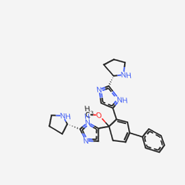 COC1(c2cnc([C@@H]3CCCN3)[nH]2)CC=C(c2ccccc2)C=C1c1cnc([C@@H]2CCCN2)[nH]1